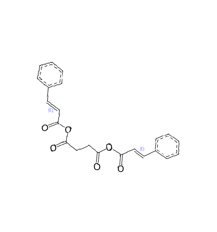 O=C(/C=C/c1ccccc1)OC(=O)CCC(=O)OC(=O)/C=C/c1ccccc1